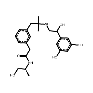 C[C@@H](CO)NC(=O)Cc1cccc(CC(C)(C)NCC(O)c2cc(O)cc(O)c2)c1